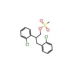 CS(=O)(=O)OCC(Cc1ccccc1Cl)c1ccccc1Cl